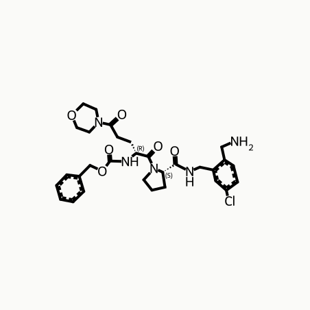 NCc1ccc(Cl)cc1CNC(=O)[C@@H]1CCCN1C(=O)[C@@H](CCC(=O)N1CCOCC1)NC(=O)OCc1ccccc1